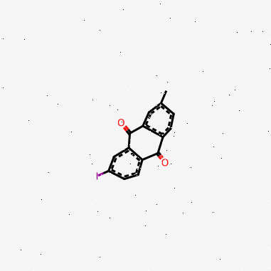 Cc1ccc2c(c1)C(=O)c1cc(I)ccc1C2=O